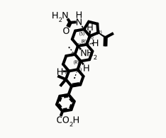 C=C(C)[C@@H]1CC[C@]2(NC(N)=O)CC[C@]3(N)[C@H](CC[C@@H]4[C@@]5(C)CC=C(c6ccc(C(=O)O)cc6)C(C)(C)[C@@H]5CC[C@]43C)[C@@H]12